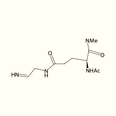 CNC(=O)[C@H](CCC(=O)NCC=N)NC(C)=O